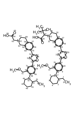 CCC1CCCCN1c1ccc(-c2nc(-c3ccc4c(c3)CN(C(C(=O)O)C(C)(C)C)CC4)no2)cc1COC.CCC1CCCCN1c1ccc(-c2nc(-c3ccc4c(c3)CN(CC(=O)O)CC4)no2)cc1COC